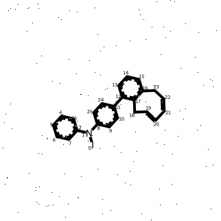 IN(c1ccccc1)c1ccc(-c2cccc3c2C/C=C/C=C\C3)cc1